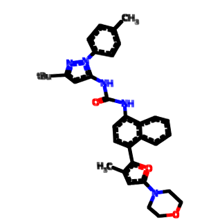 Cc1ccc(-n2nc(C(C)(C)C)cc2NC(=O)Nc2ccc(-c3oc(N4CCOCC4)cc3C)c3ccccc23)cc1